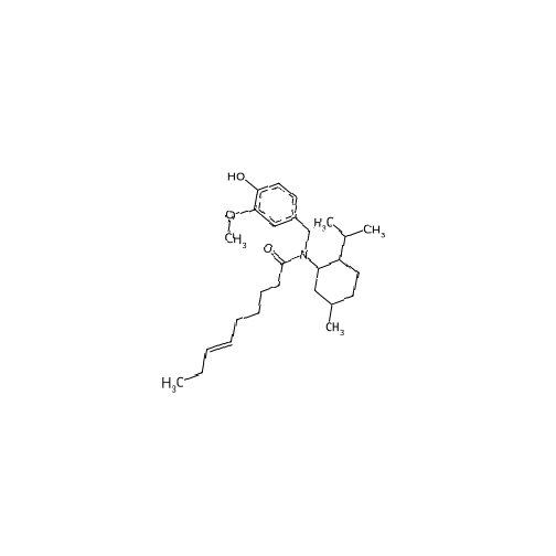 CCC=CCCCCC(=O)N(Cc1ccc(O)c(OC)c1)C1CC(C)CCC1C(C)C